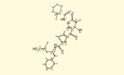 CC[C@H](C)[C@H](NC(=O)[C@H]1CCCCN1C)C(=O)N(C)C(CC(=O)c1nc(C(=O)N[C@@H](Cc2ccccc2)C[C@H](C)C(=O)O)cs1)C(C)C